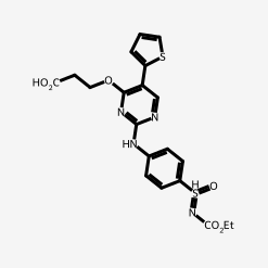 CCOC(=O)N=[SH](=O)c1ccc(Nc2ncc(-c3cccs3)c(OCCC(=O)O)n2)cc1